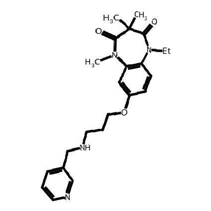 CCN1C(=O)C(C)(C)C(=O)N(C)c2cc(OCCCNCc3cccnc3)ccc21